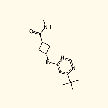 CNC(=O)[C@H]1C[C@@H](Nc2cc(C(C)(C)C)ncn2)C1